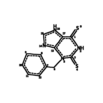 S=c1[nH]c(=S)n(Cc2ccccc2)c2nc[nH]c12